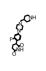 O=C1CCC(c2ccc(N3CCN(CC4CCNCC4)CC3)cc2F)C(=O)N1